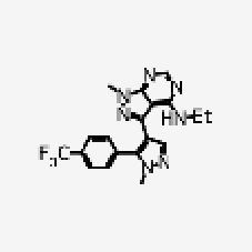 CCNc1ncnc2c1c(-c1cnn(C)c1-c1ccc(C(F)(F)F)cc1)nn2C